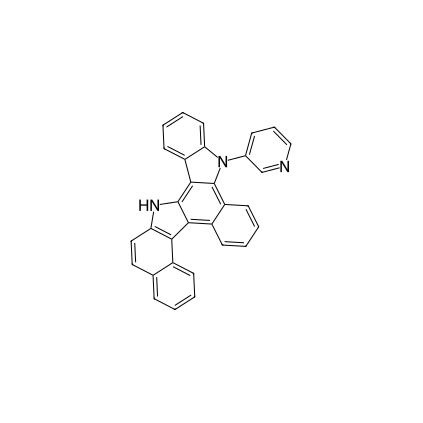 c1cncc(-n2c3ccccc3c3c4[nH]c5ccc6ccccc6c5c4c4ccccc4c32)c1